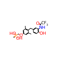 C=P(O)(O)COc1cc(C)c(Cc2ccc(O)c(NC(=O)C(F)(F)F)c2)c(C)c1